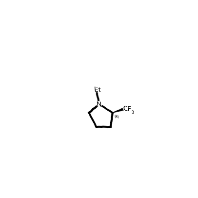 CCN1CCC[C@@H]1C(F)(F)F